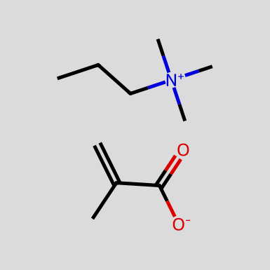 C=C(C)C(=O)[O-].CCC[N+](C)(C)C